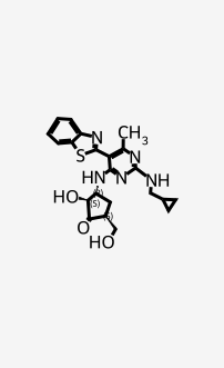 Cc1nc(NCC2CC2)nc(N[C@@H]2C[C@@H](CO)C(=O)[C@H]2O)c1-c1nc2ccccc2s1